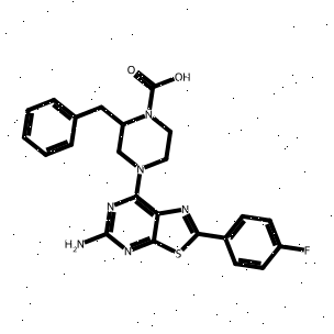 Nc1nc(N2CCN(C(=O)O)C(Cc3ccccc3)C2)c2nc(-c3ccc(F)cc3)sc2n1